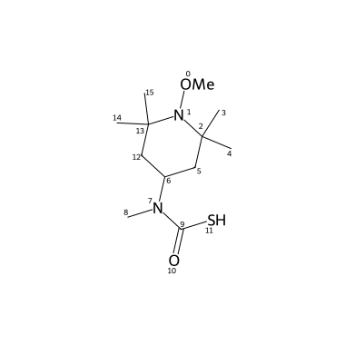 CON1C(C)(C)CC(N(C)C(=O)S)CC1(C)C